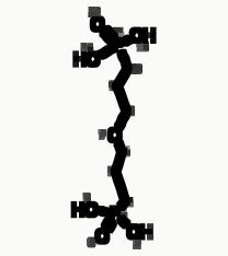 O=P(O)(O)CCCOCCCP(=O)(O)O